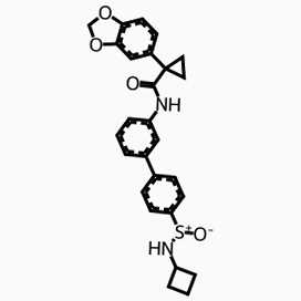 O=C(Nc1cccc(-c2ccc([S+]([O-])NC3CCC3)cc2)c1)C1(c2ccc3c(c2)OCO3)CC1